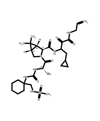 C=CCNC(=O)C(=O)C(CC1CC1)NC(=O)[C@@H]1[C@@H]2[C@H](CN1C(=O)[C@@H](NC(=O)NC1(CNS(C)(=O)=O)CCCCC1)C(C)(C)C)C2(C)C